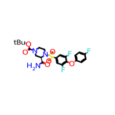 CC(C)(C)OC(=O)N1CCN(S(=O)(=O)c2cc(F)c(Oc3ccc(F)cc3)c(F)c2)[C@@H](C(N)=O)C1